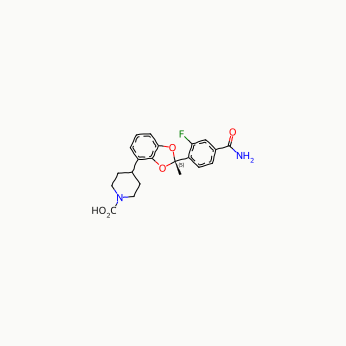 C[C@]1(c2ccc(C(N)=O)cc2F)Oc2cccc(C3CCN(C(=O)O)CC3)c2O1